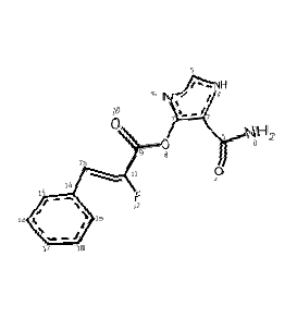 NC(=O)c1[nH]cnc1OC(=O)C(F)=Cc1ccccc1